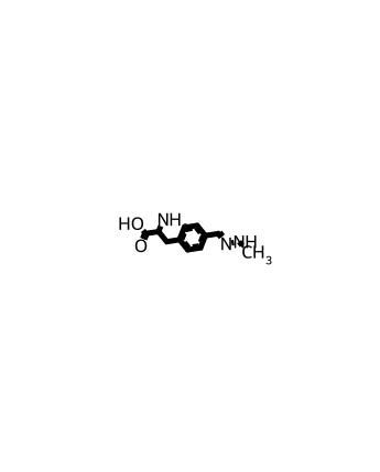 CN/N=C/c1ccc(CC(N)C(=O)O)cc1